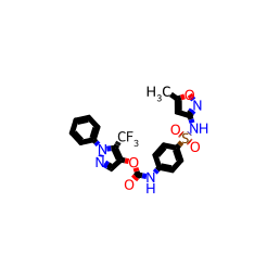 Cc1cc(NS(=O)(=O)c2ccc(NC(=O)Oc3cnn(-c4ccccc4)c3C(F)(F)F)cc2)no1